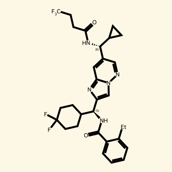 CCc1ccccc1C(=O)N[C@H](c1cn2ncc([C@H](NC(=O)CCC(F)(F)F)C3CC3)cc2n1)C1CCC(F)(F)CC1